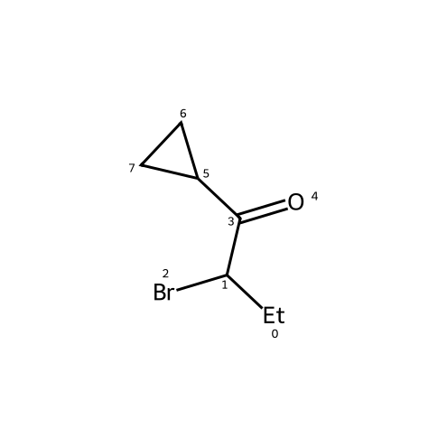 CCC(Br)C(=O)C1CC1